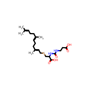 CC(C)=CCCC(C)=CCCC(C)=CCSCC(NC(=O)NCCC(=O)O)C(=O)O